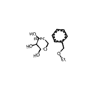 CCCCCCCCCCC[O].CCOCc1ccccc1.OCC(O)CO